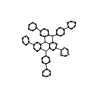 c1ccc(-c2ccc(N3c4ccc(-c5ccccc5)cc4B4c5cc(-c6ccccc6)ccc5N(c5ccc(-c6ccccc6)cc5)c5cc(-c6ncncn6)cc3c54)cc2)cc1